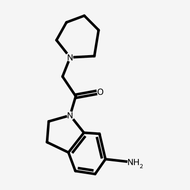 Nc1ccc2c(c1)N(C(=O)CN1CCCCC1)CC2